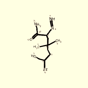 CCC(O)CC(C)(C)C(N=N)C(N)=O